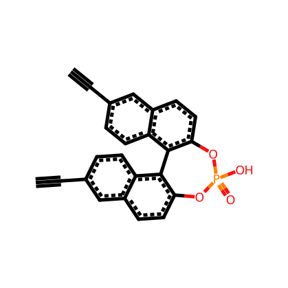 C#Cc1ccc2c3c(ccc2c1)OP(=O)(O)Oc1ccc2cc(C#C)ccc2c1-3